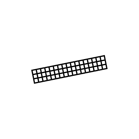 C1C2C3CC4C5C6C7C8C9C%10C%11C%12C%13C%14C%15C%16C%17C%18C%19CC%20C%21CC%22C%23C%24C%25C%26C%27C%28C%29C%30C%31C%32C%33C%34C%35C%36C1C21C34C52C%361C%351C62C72C%341C%331C82C92C%321C%311C%102C%112C%301C%291C%283C%274C%265C%256C%247C%238C%21%22C%20%19C%188C%177C%166C%155C%144C%133C%1212